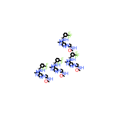 CC(=O)N[C@@H]1CCN(c2cc3c(N[C@H](C)c4cccc(C(F)(F)F)c4)nc(C)nc3cn2)C1.CC(=O)N[C@@H]1CCN(c2cc3c(N[C@H](C)c4cccc(C(F)F)c4F)nc(C)nc3cn2)C1.CC(=O)N[C@H]1CCN(c2cc3c(N[C@H](C)c4cccc(C(F)(F)F)c4)nc(C)nc3cn2)C1.CC(=O)N[C@H]1CCN(c2cc3c(N[C@H](C)c4cccc(C(F)F)c4F)nc(C)nc3cn2)C1